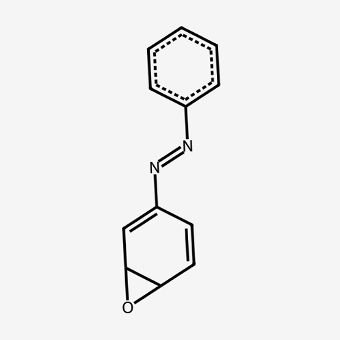 C1=CC2OC2C=C1N=Nc1ccccc1